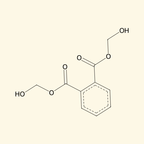 O=C(OCO)c1ccccc1C(=O)OCO